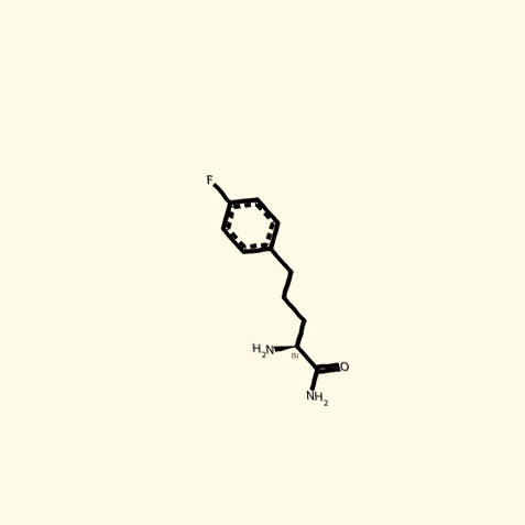 NC(=O)[C@@H](N)CCCc1ccc(F)cc1